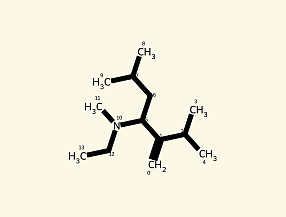 C=C(C(C)C)C(CC(C)C)N(C)CC